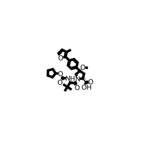 CO[C@@]1(c2ccc(-c3occc3C)cc2)C[C@@H](C(=O)O)N(C(=O)[C@@H](NC(=O)OC2CCCC2)C(C)(C)C)C1